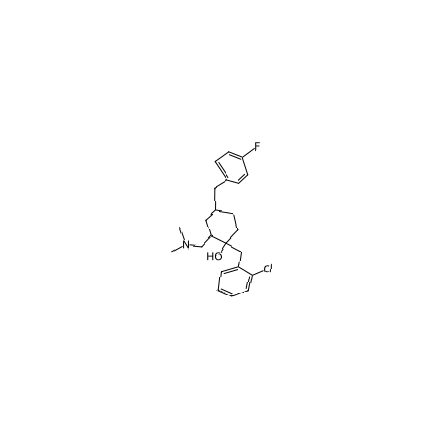 CN(C)CC1CC(Cc2ccc(F)cc2)CCC1(O)Cc1ccccc1Cl